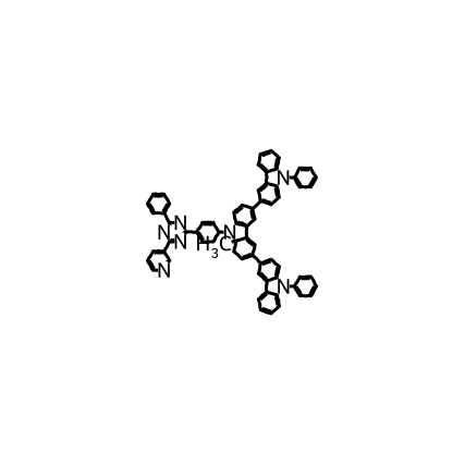 CC12CC=C(c3ccc4c(c3)c3ccccc3n4-c3ccccc3)C=C1c1cc(-c3ccc4c(c3)c3ccccc3n4-c3ccccc3)ccc1N2C1C=CC(c2nc(-c3ccccc3)nc(-c3cccnc3)n2)=CC1